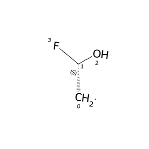 [CH2][C@@H](O)F